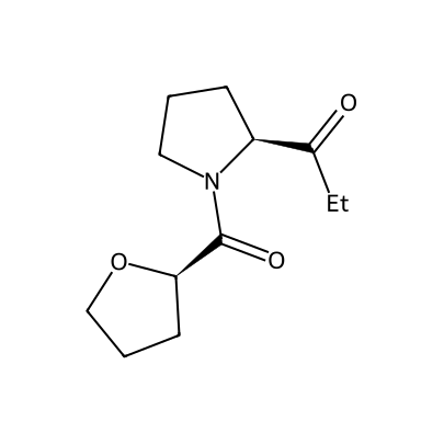 CCC(=O)[C@@H]1CCCN1C(=O)[C@H]1CCCO1